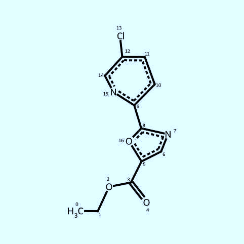 CCOC(=O)c1cnc(-c2ccc(Cl)cn2)o1